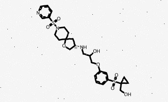 O=S(=O)(c1cccnc1)N1CCC2(CC1)C[C@H](NCC(O)COc1cccc(S(=O)(=O)C3(CO)CC3)c1)CO2